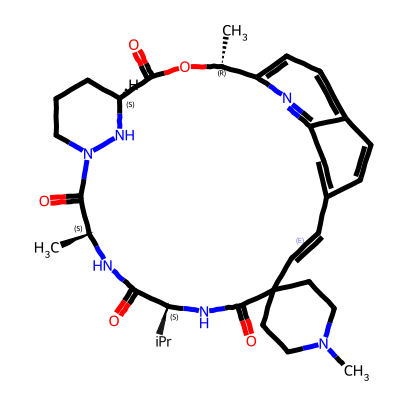 CC(C)[C@@H]1NC(=O)C2(/C=C/c3ccc4ccc(nc4c3)[C@@H](C)OC(=O)[C@@H]3CCCN(N3)C(=O)[C@H](C)NC1=O)CCN(C)CC2